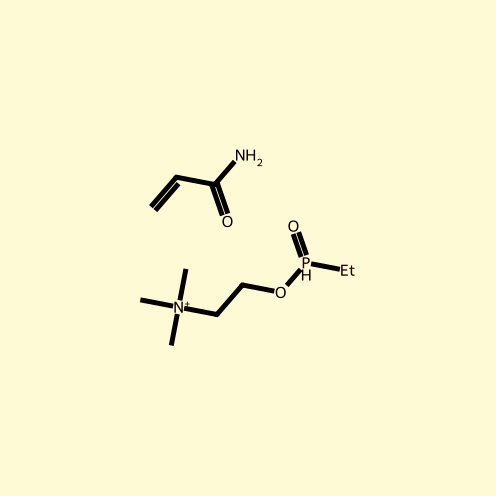 C=CC(N)=O.CC[PH](=O)OCC[N+](C)(C)C